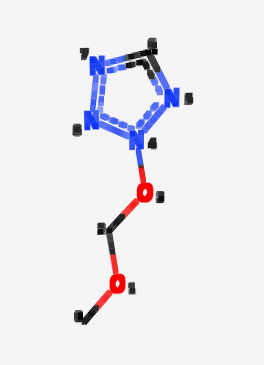 COCOn1n[c]nn1